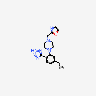 CC(C)Cc1ccc(-c2nn[nH]n2)c(N2CCN(Cc3ncco3)CC2)c1